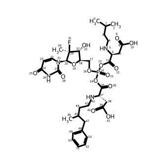 CC(C)CCN[C@@H](CC(=O)O)C(=O)OP(=O)(OC[C@H]1O[C@@H](n2ccc(=O)[nH]c2=O)[C@@](C)(F)[C@@H]1O)OC(=O)[C@H](CC(=O)O)NCCC(C)Cc1ccccc1